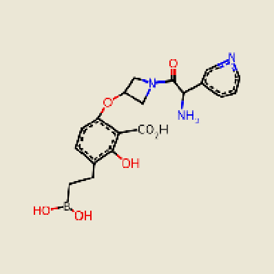 NC(C(=O)N1CC(Oc2ccc(CCB(O)O)c(O)c2C(=O)O)C1)c1cccnc1